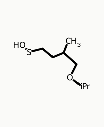 CC(CCSO)COC(C)C